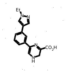 CCn1cc(-c2cccc(C3=CNCC(C(=O)O)=N3)c2)cn1